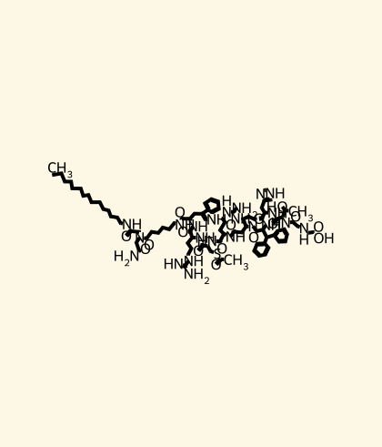 CCCCCCCCCCCCCCCCNC(=O)CN(CC(N)=O)C(=O)CCCCCNC(=O)C(Cc1c[nH]c2ccccc12)NC(=O)C(CCCNC(=N)N)NC(=O)C(CSC(C)=O)NC(=O)C(CCCNC(=N)N)NC(=O)CC1CCCN1C(=O)C(NC(=O)C(Cc1c[nH]cn1)NC(=O)C(NC(=O)CNCC(=O)O)C(C)O)C(c1ccccc1)c1ccccc1